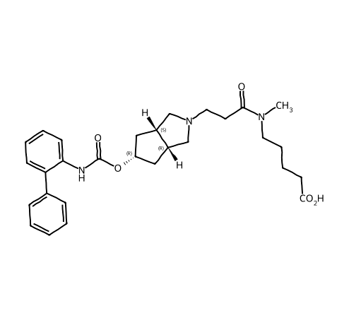 CN(CCCCC(=O)O)C(=O)CCN1C[C@H]2C[C@@H](OC(=O)Nc3ccccc3-c3ccccc3)C[C@H]2C1